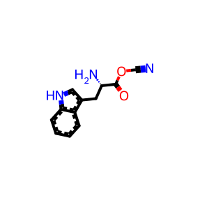 N#COC(=O)[C@@H](N)Cc1c[nH]c2ccccc12